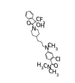 CN(C)C(=O)c1ccc(N(C)CCCC2CCN(C(=O)C(O)(c3ccccc3)C(F)(F)F)CC2)cc1Cl